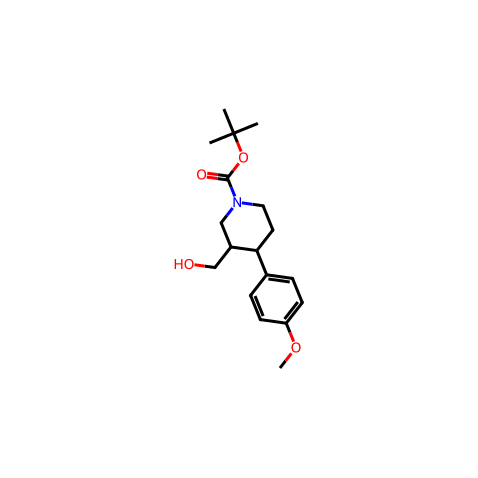 COc1ccc(C2CCN(C(=O)OC(C)(C)C)CC2CO)cc1